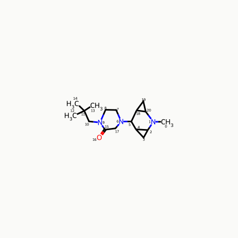 CN1C2CC2C(N2CCN(CC(C)(C)C)C(=O)C2)C2CC21